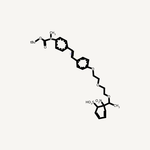 CC(OCCOCCOc1ccc(/C=C/c2ccc(N(C)C(=O)OC(C)(C)C)cc2)cc1)C1([N+](=O)[O-])C=CC=CC1S(=O)(=O)O